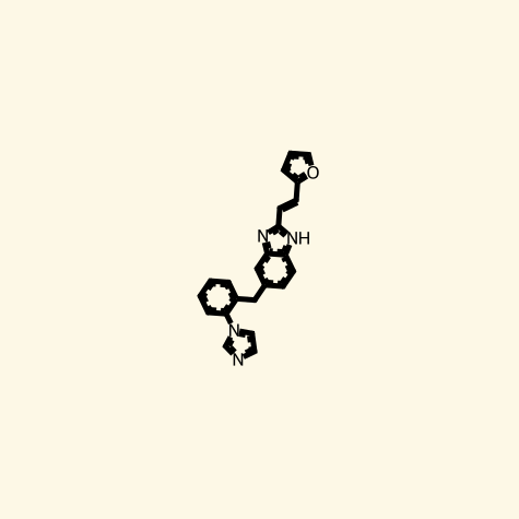 C(=Cc1ccco1)c1nc2cc(Cc3ccccc3-n3ccnc3)ccc2[nH]1